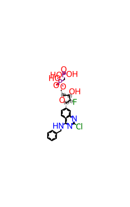 O=P(O)(O)CP(=O)(O)OC[C@H]1O[C@@H](c2ccc3c(NCc4ccccc4)nc(Cl)nc3c2)[C@@H](F)[C@@H]1O